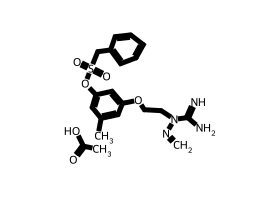 C=NN(CCOc1cc(C)cc(OS(=O)(=O)Cc2ccccc2)c1)C(=N)N.CC(=O)O